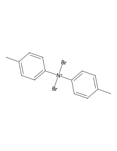 Cc1ccc([N+](Br)(Br)c2ccc(C)cc2)cc1